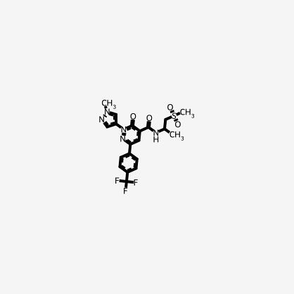 CC(CS(C)(=O)=O)NC(=O)c1cc(-c2ccc(C(F)(F)F)cc2)nn(-c2cnn(C)c2)c1=O